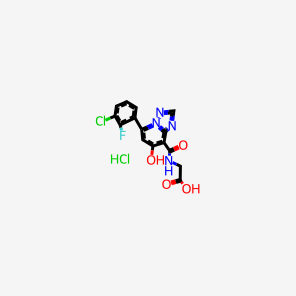 Cl.O=C(O)CNC(=O)c1c(O)cc(-c2cccc(Cl)c2F)n2ncnc12